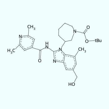 Cc1cc(C(=O)Nc2nc3cc(CO)cc(C)c3n2C2CCCCN(C(=O)OC(C)(C)C)C2)cc(C)n1